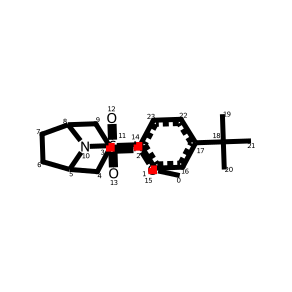 CON=C1CC2CCC(C1)N2S(=O)(=O)c1ccc(C(C)(C)C)cc1